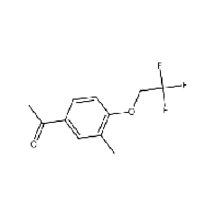 CC(=O)c1ccc(OCC(F)(F)F)c(C)c1